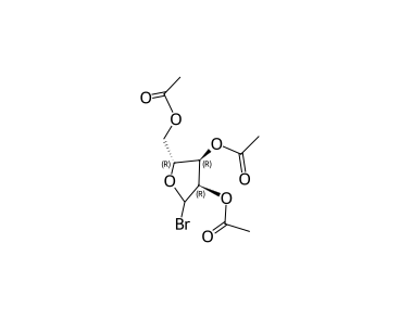 CC(=O)OC[C@H]1OC(Br)[C@H](OC(C)=O)[C@@H]1OC(C)=O